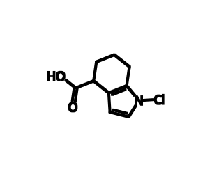 O=C(O)C1CCCc2c1ccn2Cl